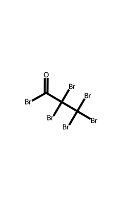 O=C(Br)C(Br)(Br)C(Br)(Br)Br